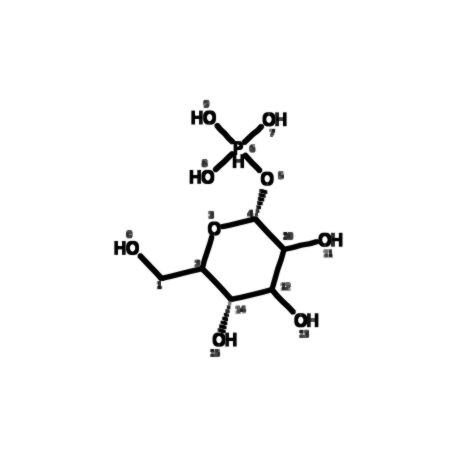 OCC1O[C@H](O[PH](O)(O)O)C(O)C(O)[C@@H]1O